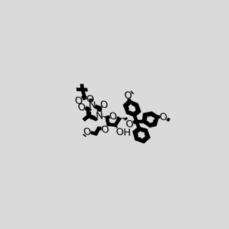 COCCO[C@@H]1[C@H](O)[C@@H](COC(c2ccccc2)(c2ccc(OC)cc2)c2ccc(OC)cc2)O[C@H]1n1cc(C)c(=O)n(OC(=O)C(C)(C)C)c1=O